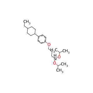 CCC1CCC(c2ccc(OCCC[SiH](OC(C)C)OC(C)C)cc2)CC1